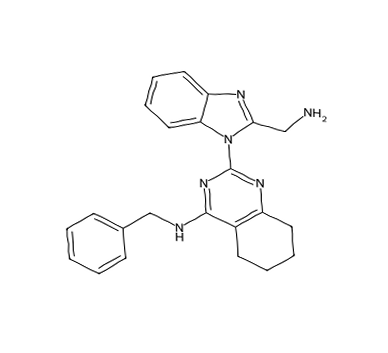 NCc1nc2ccccc2n1-c1nc2c(c(NCc3ccccc3)n1)CCCC2